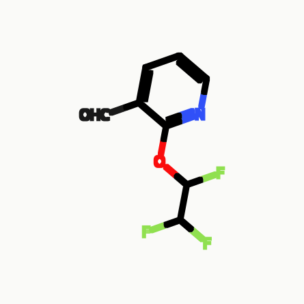 O=Cc1cccnc1OC(F)C(F)F